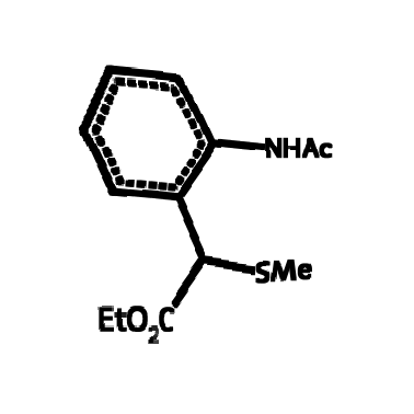 CCOC(=O)C(SC)c1ccccc1NC(C)=O